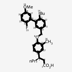 CCC[C@H](CC(=O)O)c1ccc(OCc2ccc(C(C)(C)C)c(-c3cc(OC)ccc3F)c2)c(C)c1